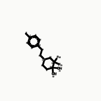 Cc1ccc(CCN2CCC(O)(O)C(F)(F)C2)cc1